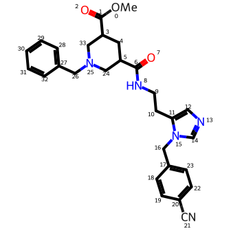 COC(=O)C1CC(C(=O)NCCc2cncn2Cc2ccc(C#N)cc2)CN(Cc2ccccc2)C1